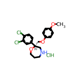 COc1ccc(OC[C@]2(c3ccc(Cl)c(Cl)c3)CNCCCO2)cc1.Cl